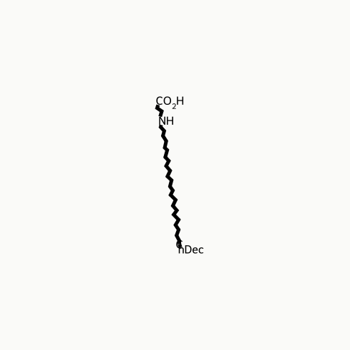 CCCCCCCCCCCCCCCCCCCCCCCCCCCCCCCCCCCNCCCC(=O)O